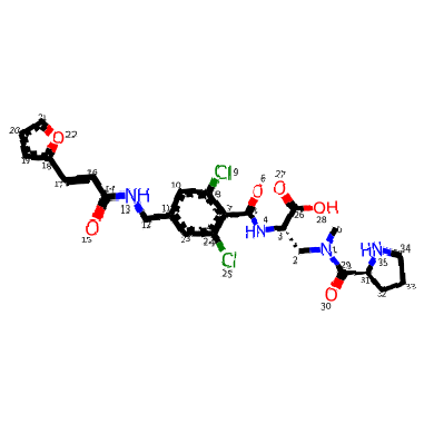 CN(C[C@H](NC(=O)c1c(Cl)cc(CNC(=O)/C=C/c2ccco2)cc1Cl)C(=O)O)C(=O)[C@@H]1CCCN1